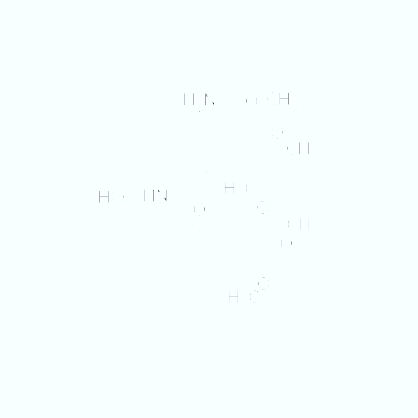 COc1cc(/C=C/C(=O)Nc2c(O)cccc2/C=C/c2cc(OC)c(OC)c(OC)c2)cc(N)c1OC